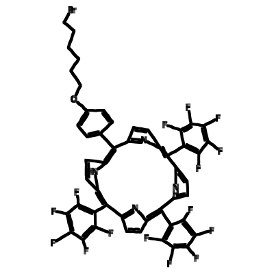 Fc1c(F)c(F)c(-c2c3nc(c(-c4c(F)c(F)c(F)c(F)c4F)c4ccc([nH]4)c(-c4c(F)c(F)c(F)c(F)c4F)c4nc(c(-c5ccc(OCCCCCCBr)cc5)c5ccc2[nH]5)C=C4)C=C3)c(F)c1F